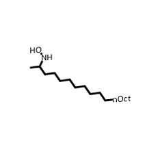 CCCCCCCCCCCCCCCCCC(C)NO